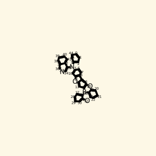 c1ccc(N(c2ccc3c(c2)oc2cc4c(cc23)Oc2cccc3c2B4c2ccccc2O3)c2cncc3ccccc23)cc1